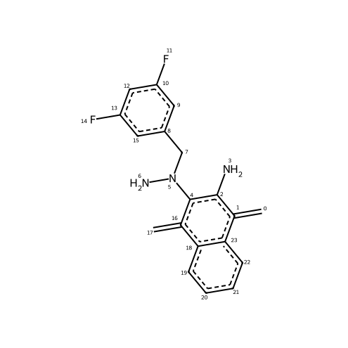 C=c1c(N)c(N(N)Cc2cc(F)cc(F)c2)c(=C)c2ccccc12